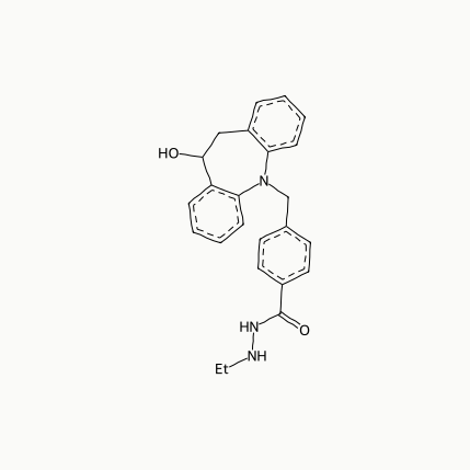 CCNNC(=O)c1ccc(CN2c3ccccc3CC(O)c3ccccc32)cc1